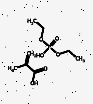 C=C(C)C(=O)O.CCOP(=O)(O)OCC